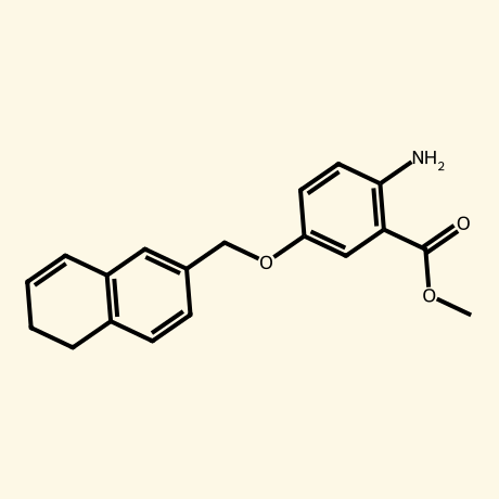 COC(=O)c1cc(OCc2ccc3c(c2)C=CCC3)ccc1N